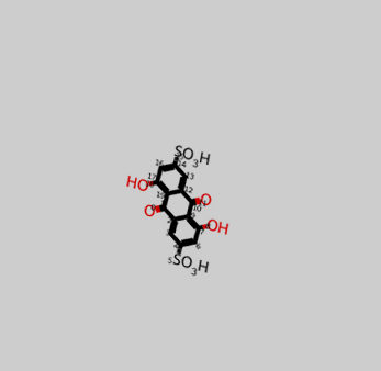 O=C1c2cc(S(=O)(=O)O)cc(O)c2C(=O)c2cc(S(=O)(=O)O)cc(O)c21